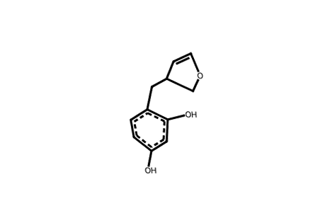 Oc1ccc(CC2C=COC2)c(O)c1